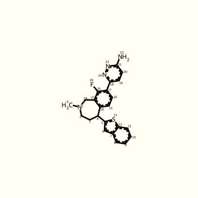 CN1CCC(c2cc3ccccc3s2)c2ccc(-c3ccc(N)nn3)c(F)c2C1